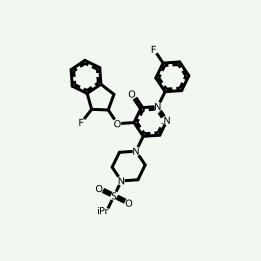 CC(C)S(=O)(=O)N1CCN(c2cnn(-c3cccc(F)c3)c(=O)c2OC2Cc3ccccc3C2F)CC1